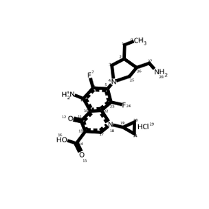 CCC1CN(c2c(F)c(N)c3c(=O)c(C(=O)O)cn(C4CC4)c3c2F)CC1CN.Cl